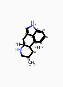 C[C@H]1CN[C@@H]2Cc3c[nH]c4cccc(c34)[C@H]2C1